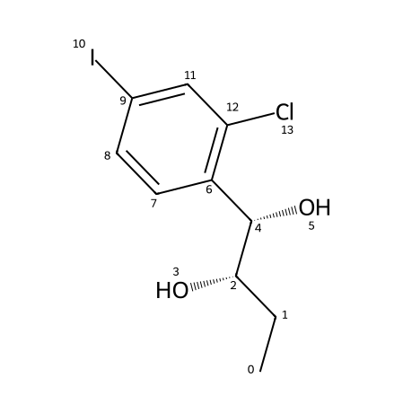 CC[C@H](O)[C@@H](O)c1ccc(I)cc1Cl